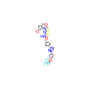 COc1ccc(C(C)C)c(N2C(=O)CS/C2=N\C(=S)NOCc2ccc(-c3ncn(-c4ccc(OC(F)(F)C(F)(F)F)cc4)n3)cc2)c1